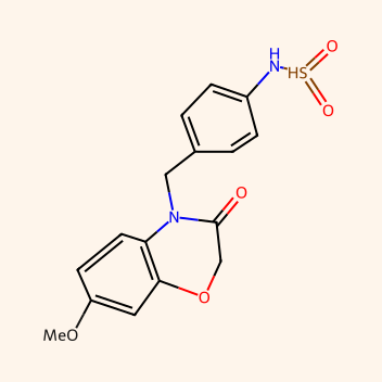 COc1ccc2c(c1)OCC(=O)N2Cc1ccc(N[SH](=O)=O)cc1